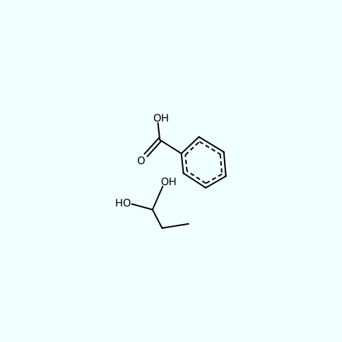 CCC(O)O.O=C(O)c1ccccc1